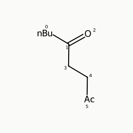 CCCCC(=O)CCC(C)=O